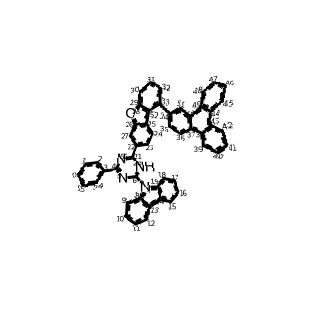 c1ccc(C2=NC(n3c4ccccc4c4ccccc43)NC(c3ccc4c(c3)oc3cccc(-c5ccc6c7ccccc7c7ccccc7c6c5)c34)=N2)cc1